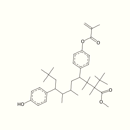 C=C(C)C(=O)Oc1ccc(C(CC(C)C(C)C(CC(C)(C)C)c2ccc(O)cc2)C(C)(C)C(C)(C(=O)OC)C(C)(C)C)cc1